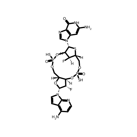 Nc1cc2c(ncn2[C@@H]2S[C@@H]3COP(=O)(S)O[C@H]4[C@H](F)[C@H](n5ccc6c(N)ccnc65)O[C@@H]4COP(=O)(S)O[C@@H]2[C@@H]3F)c(=O)[nH]1